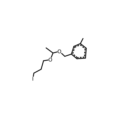 Cc1cccc(COC(C)OCCCI)c1